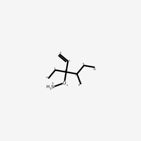 C=CC(CC)(O[SiH3])C(C)CC